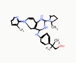 CC1CCCN1C1NC2=C(CCN(c3ncccc3C(F)(F)F)C=C2)C(Nc2ccc(C(C)(C)CO)cc2)N1